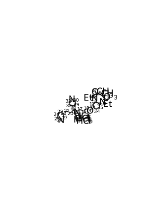 CCN1C(=O)C(C)(C)C(=O)N(CC)c2cc(OCCCNC(CCc3cccnc3)c3ccncc3)ccc21.Cl.Cl.Cl